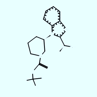 C[C@H](N)c1nc2ccccc2n1[C@@H]1CCCN(C(=O)OC(C)(C)C)C1